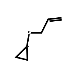 C=CCS[C]1CC1